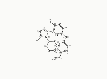 Cc1ncc(-c2nc(Nc3ccc(C=O)nc3)ncc2F)n1C1CCOCC1